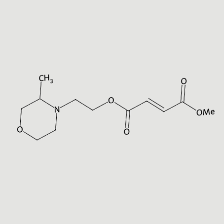 COC(=O)/C=C/C(=O)OCCN1CCOCC1C